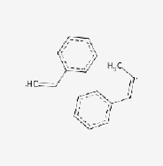 C/[C]=C\c1ccccc1.[CH]=Cc1ccccc1